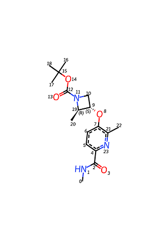 CNC(=O)c1ccc(O[C@H]2CN(C(=O)OC(C)(C)C)[C@@H]2C)c(C)n1